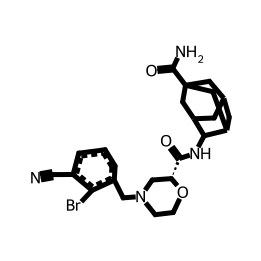 N#Cc1cccc(CN2CCO[C@@H](C(=O)NC3C4CC5CC3CC(C(N)=O)(C5)C4)C2)c1Br